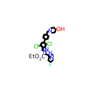 CCOC(=O)[C@@H](c1ncn2c1C[C@@H](F)C2)n1cc2c(Cl)cc(-c3ccc(CN4CCC(O)CC4)cc3)c(Cl)c2n1